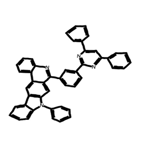 c1ccc(-c2cc(-c3ccccc3)nc(-c3cccc(-c4nc5ccccc5c5cc6c7ccccc7n(-c7ccccc7)c6cc45)c3)n2)cc1